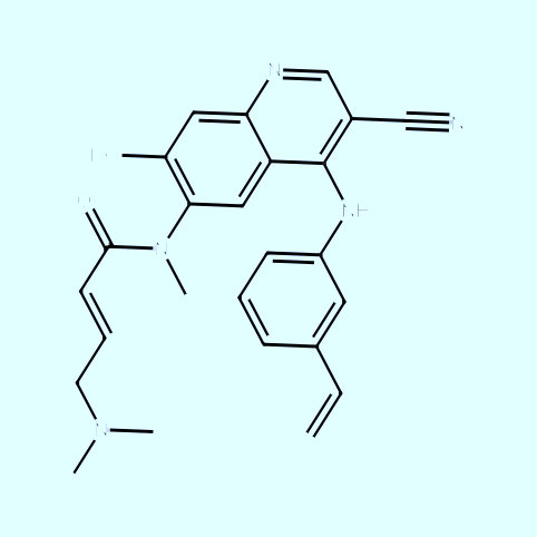 C=Cc1cccc(Nc2c(C#N)cnc3cc(O)c(N(C)C(=O)/C=C/CN(C)C)cc23)c1